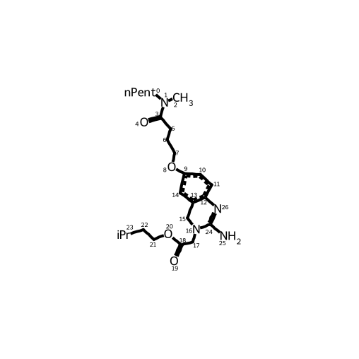 CCCCCN(C)C(=O)CCCOc1ccc2c(c1)CN(CC(=O)OCCC(C)C)C(N)=N2